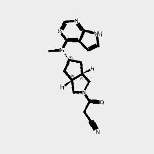 CN(c1ncnc2[nH]ccc12)[C@@H]1C[C@@H]2CN(C(=O)CC#N)C[C@@H]2C1